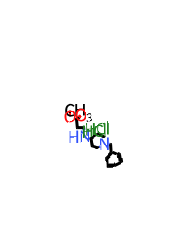 COC(=O)CCNC1CCN(Cc2ccccc2)CC1.Cl.Cl